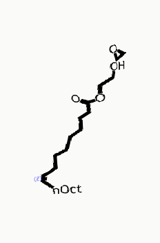 C1CO1.CCCCCCCC/C=C\CCCCCCCC(=O)OCCO